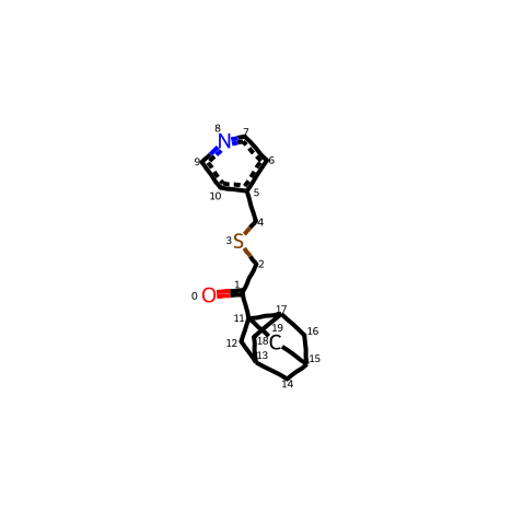 O=C(CSCc1ccncc1)C12CC3CC(CC1C3)C2